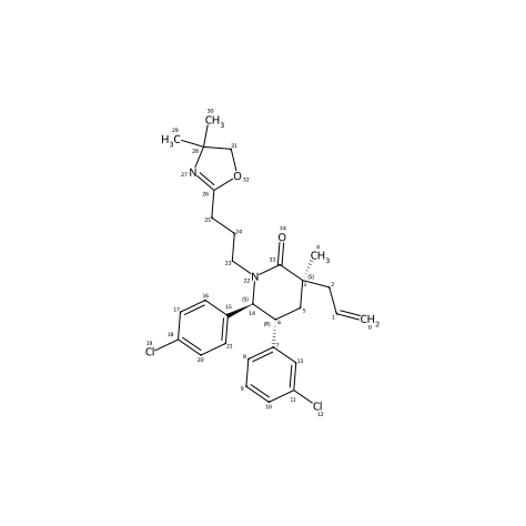 C=CC[C@@]1(C)C[C@H](c2cccc(Cl)c2)[C@@H](c2ccc(Cl)cc2)N(CCCC2=NC(C)(C)CO2)C1=O